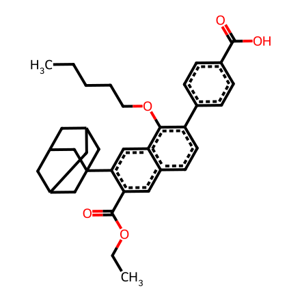 CCCCCOc1c(-c2ccc(C(=O)O)cc2)ccc2cc(C(=O)OCC)c(C34CC5CC(CC(C5)C3)C4)cc12